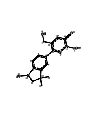 CCCCCCCCn1nc(-c2ccc3c(c2)C(C)(C)CN3C(C)C)c(CO)cc1=O